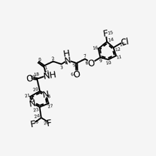 C=C(CCNC(=O)COc1ccc(Cl)c(F)c1)NC(=O)c1cnc(C(F)F)cn1